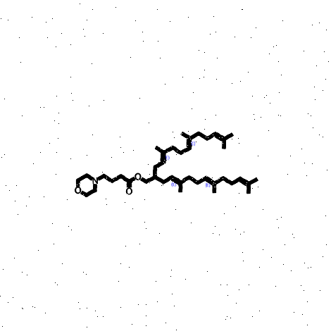 CC(C)=CCC/C(C)=C/CC/C(C)=C/CC(C/C=C(\C)CC/C=C(\C)CCC=C(C)C)COC(=O)CCCN1CCOCC1